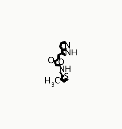 Cc1ccsc1CNC1=CC(=O)/C(=C/c2c[nH]c3ncccc23)O1